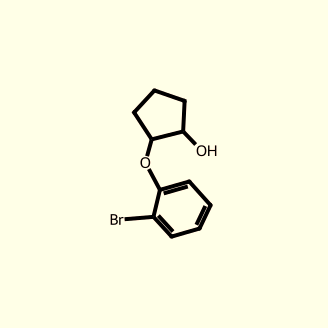 OC1CCCC1Oc1ccccc1Br